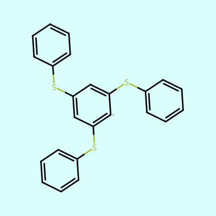 [c]1c(Sc2ccccc2)cc(Sc2ccccc2)cc1Sc1ccccc1